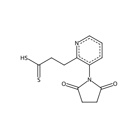 O=C1CCC(=O)N1c1cccnc1CCC(=S)S